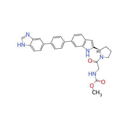 COC(=O)NCC(=O)N1CCC[C@@H]1c1cc2ccc(-c3ccc(-c4ccc5[nH]cnc5c4)cc3)cc2[nH]1